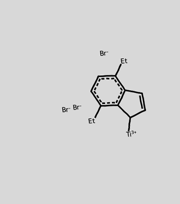 CCc1ccc(CC)c2c1C=C[CH]2[Ti+3].[Br-].[Br-].[Br-]